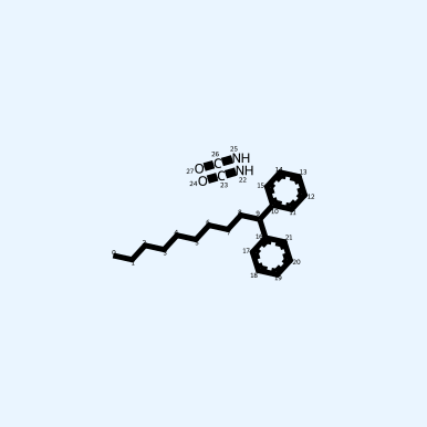 CCCCCCCCCC(c1ccccc1)c1ccccc1.N=C=O.N=C=O